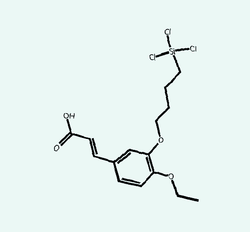 CCOc1ccc(C=CC(=O)O)cc1OCCCC[Si](Cl)(Cl)Cl